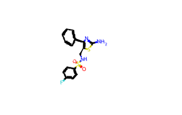 Nc1nc(-c2ccccc2)c(CNS(=O)(=O)c2ccc(F)cc2)s1